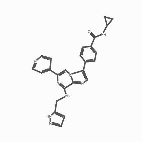 O=C(NC1CC1)c1ccc(-c2cnc3c(NCc4ccn[nH]4)nc(-c4ccncc4)cn23)cc1